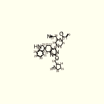 C=CC(=O)N1CCN(c2nc(OCC3CCCN3C)nc3c2CCC2(CNc4ccccc42)C3)CC1CC#N